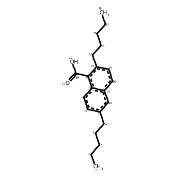 CCCCCc1ccc2c(C(=O)O)c(CCCCC)ccc2c1